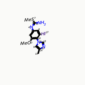 COc1cc(N=C(N)SC)ccc1-n1cnc(C)c1.I